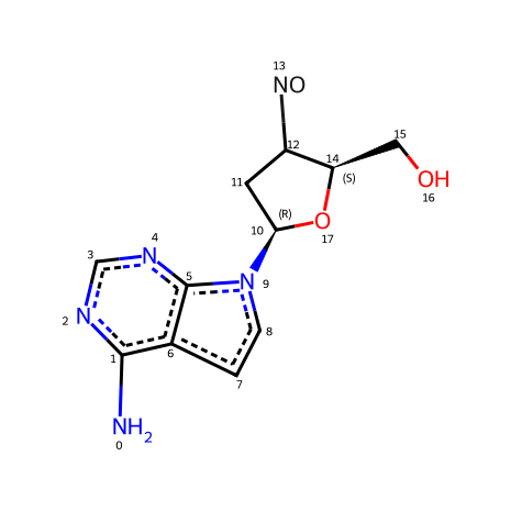 Nc1ncnc2c1ccn2[C@H]1CC(N=O)[C@@H](CO)O1